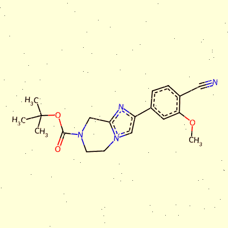 COc1cc(-c2cn3c(n2)CN(C(=O)OC(C)(C)C)CC3)ccc1C#N